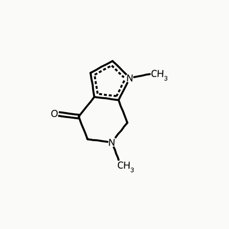 CN1CC(=O)c2ccn(C)c2C1